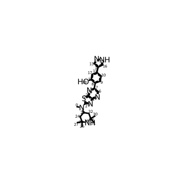 CN(c1nc2ncc(-c3ccc(-c4cn[nH]c4)cc3O)nc2s1)C1CC(C)(C)NC(C)(C)C1